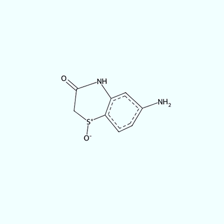 Nc1ccc2c(c1)NC(=O)C[S+]2[O-]